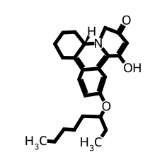 CCCCCC(CC)Oc1ccc2c(c1)=C1C(O)=CC(=O)CN1[C@H]1CCCCC=21